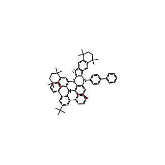 Cc1cc2c3c(c1)N(c1ccc(-c4ccccc4)cc1)c1c(oc4cc5c(cc14)C(C)(C)CCC5(C)C)B3c1cc3c(cc1N2c1c(-c2ccccc2)cc(C(C)(C)C)cc1-c1ccccc1)C(C)(C)CCC3(C)C